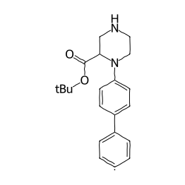 CC(C)(C)OC(=O)C1CNCCN1c1ccc(-c2cc[c]cc2)cc1